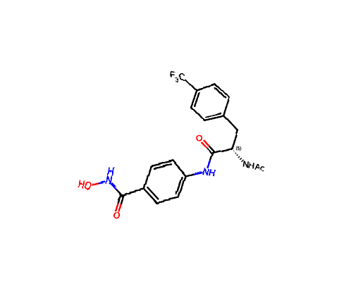 CC(=O)N[C@@H](Cc1ccc(C(F)(F)F)cc1)C(=O)Nc1ccc(C(=O)NO)cc1